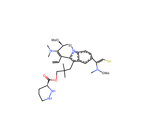 C=C/C(=C(/[C@H](C)OC)N(C)C)c1c(CC(C)(C)COC(=O)[C@@H]2CCCNN2)c2cc(/C(=C/S)N(C)OC)ccc2n1CC